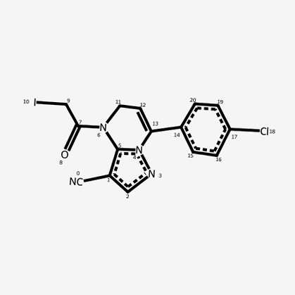 N#Cc1cnn2c1N(C(=O)CI)CC=C2c1ccc(Cl)cc1